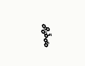 N#Cc1cc(-c2ccc3c(c2)oc2ccccc23)cc2c1sc1c(-n3c4ccccc4c4ccccc43)cccc12